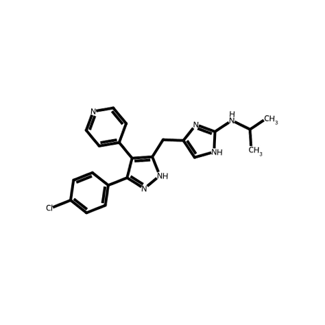 CC(C)Nc1nc(Cc2[nH]nc(-c3ccc(Cl)cc3)c2-c2ccncc2)c[nH]1